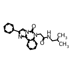 CC(C)CNC(=O)Cn1c(=O)n2cc(-c3ccccc3)nc2c2ccccc21